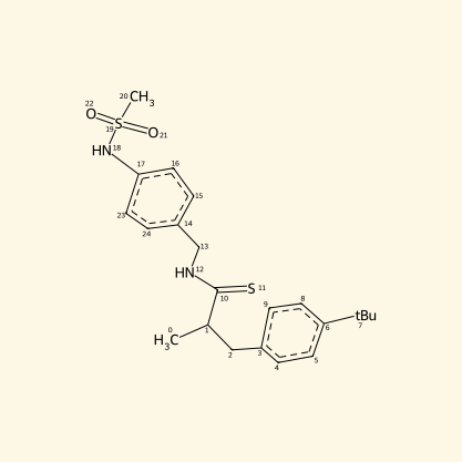 CC(Cc1ccc(C(C)(C)C)cc1)C(=S)NCc1ccc(NS(C)(=O)=O)cc1